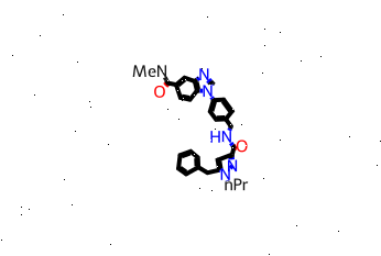 CCCn1nc(C(=O)NCc2ccc(-n3cnc4cc(C(=O)NC)ccc43)cc2)cc1Cc1ccccc1